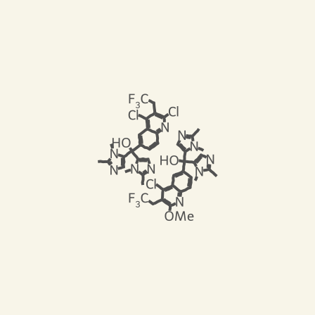 COc1nc2ccc(C(O)(c3cnc(C)n3C)c3cnc(C)n3C)cc2c(Cl)c1CC(F)(F)F.Cc1ncc(C(O)(c2ccc3nc(Cl)c(CC(F)(F)F)c(Cl)c3c2)c2cnc(C)n2C)n1C